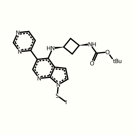 CC(C)(C)OC(=O)N[C@H]1C[C@@H](Nc2c(-c3ccncn3)cnc3c2ccn3SI)C1